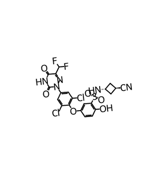 N#C[C@H]1C[C@H](NS(=O)(=O)c2cc(Oc3c(Cl)cc(-n4nc(C(F)F)c(=O)[nH]c4=O)cc3Cl)ccc2O)C1